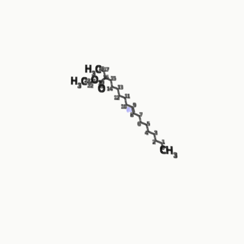 CCCCCCCC/C=C/CCCCCCC(CC)C(=O)OCC